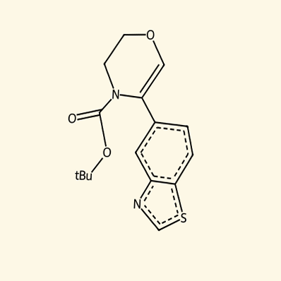 CC(C)(C)OC(=O)N1CCOC=C1c1ccc2scnc2c1